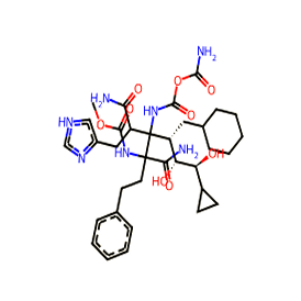 COC(=O)NC(CCc1ccccc1)(C(N)=O)C(NC(=O)OC(N)=O)(C(Cc1c[nH]cn1)C(N)=O)[C@H](CC1CCCCC1)[C@@H](O)[C@@H](O)C1CC1